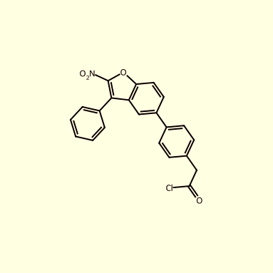 O=C(Cl)Cc1ccc(-c2ccc3oc([N+](=O)[O-])c(-c4ccccc4)c3c2)cc1